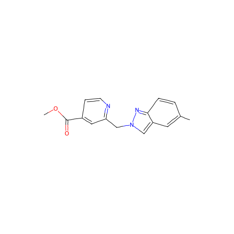 COC(=O)c1ccnc(Cn2cc3cc(C)ccc3n2)c1